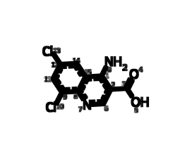 Nc1c(C(=O)O)cnc2c(Cl)cc(Cl)cc12